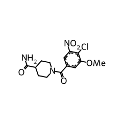 COc1cc(C(=O)N2CCC(C(N)=O)CC2)cc([N+](=O)[O-])c1Cl